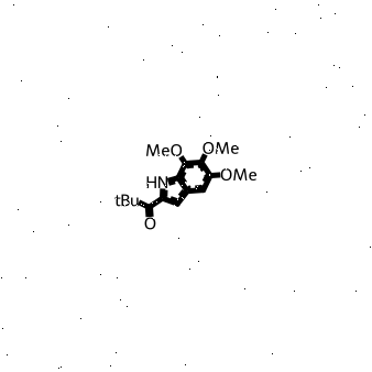 COc1cc2cc(C(=O)C(C)(C)C)[nH]c2c(OC)c1OC